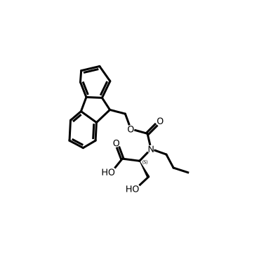 CCCN(C(=O)OCC1c2ccccc2-c2ccccc21)[C@@H](CO)C(=O)O